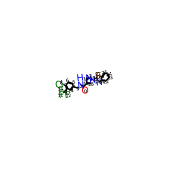 O=C(NCc1ccc(Cl)c(C(F)(F)F)c1)c1cnn(-c2nc3ccccc3s2)c1